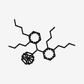 CCCCc1cccc(P(c2cccc(CCCC)c2CCCC)[C]23[CH]4[CH]5[CH]6[CH]2[Ni]56432789[CH]3[CH]2[CH]7[CH]8[CH]39)c1CCCC